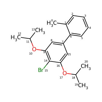 Cc1ccccc1-c1cc(OC(C)C)c(Br)c(OC(C)C)c1